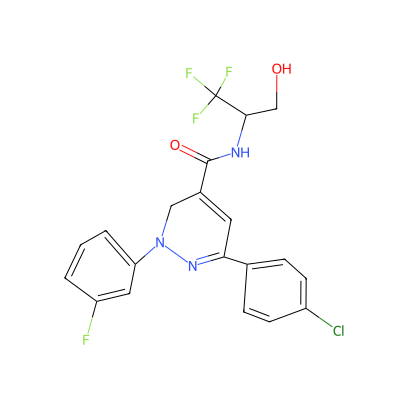 O=C(NC(CO)C(F)(F)F)C1=CC(c2ccc(Cl)cc2)=NN(c2cccc(F)c2)C1